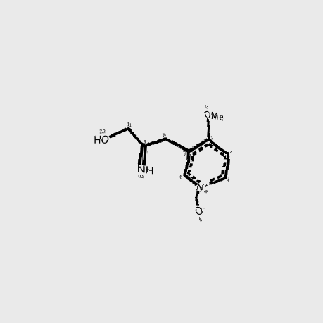 COc1cc[n+]([O-])cc1CC(=N)CO